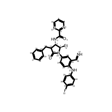 CC[C@@H]1[C@@H](NC(=O)c2ncccn2)C(Cc2ccccc2)C(=O)N1c1ccc(Nc2ccc(F)cc2)c(C=N)c1